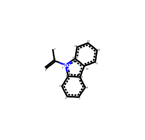 C=C(C)n1c2ccccc2c2ccccc21